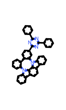 c1ccc(-c2nc(-c3ccccc3)nc(-c3ccc4c5ccccc5n5c6ccccc6c6ccc7c8ccccc8n(c4c3)c7c65)n2)cc1